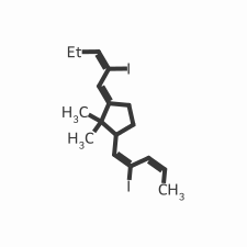 C/C=C\C(I)=C/C1CC/C(=C\C(I)=C/CC)C1(C)C